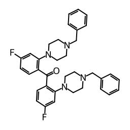 O=C(c1ccc(F)cc1N1CCN(Cc2ccccc2)CC1)c1ccc(F)cc1N1CCN(Cc2ccccc2)CC1